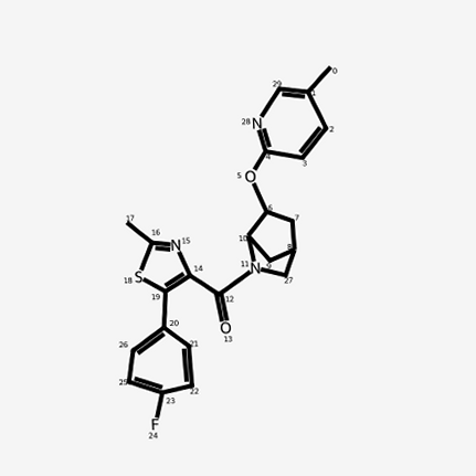 Cc1ccc(OC2CC3CC2N(C(=O)c2nc(C)sc2-c2ccc(F)cc2)C3)nc1